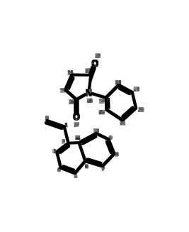 C=Cc1cccc2ccccc12.O=C1C=CC(=O)N1c1ccccc1